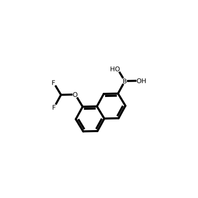 OB(O)c1ccc2cccc(OC(F)F)c2c1